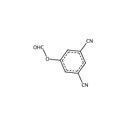 N#Cc1cc(C#N)cc(OC=O)c1